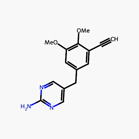 C#Cc1cc(Cc2cnc(N)nc2)cc(OC)c1OC